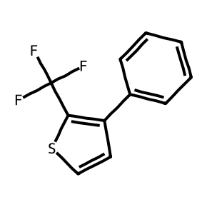 FC(F)(F)c1sccc1-c1ccccc1